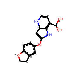 OC(O)C1=C2NC(Oc3ccc4c(c3)CCO4)=CC2NC=C1